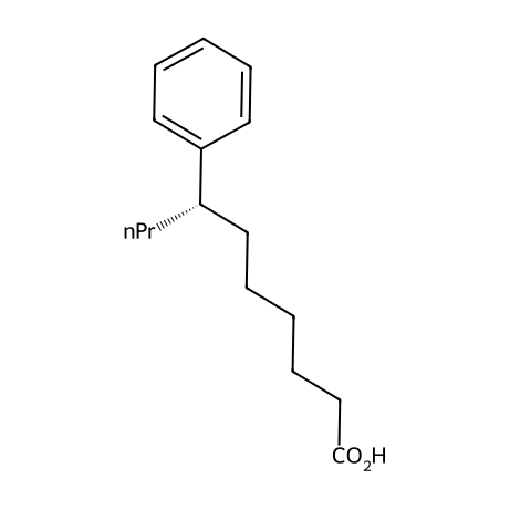 CCC[C@@H](CCCCCC(=O)O)c1ccccc1